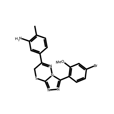 COc1cc(Br)ccc1-c1nnc2n1N=C(c1ccc(C)c(N)c1)CS2